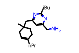 CCCC1=CCC(C)(Cc2cc(CN)nc(C(C)CC)n2)CC1